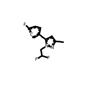 Cc1cc(-c2ccc(F)cc2)n(CC(F)F)n1